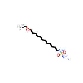 CCOCCCCCCCCCCCCNS(N)(=O)=O